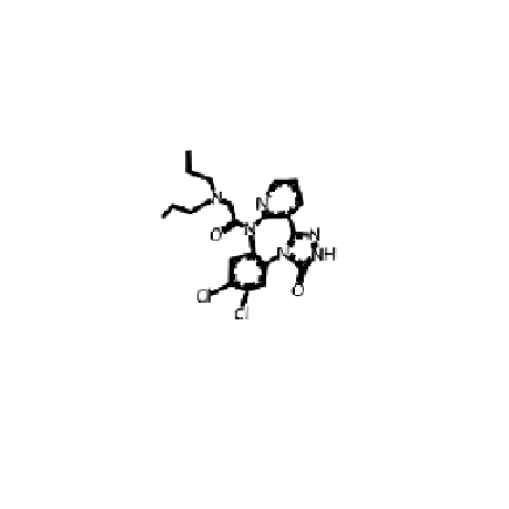 CCCN(CCC)CC(=O)N1c2cc(Cl)c(Cl)cc2-n2c(n[nH]c2=O)-c2cccnc21